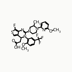 COc1cccc(N2CCN(C3=Nc4c(csc4F)C(CC(=O)O)N3c3cc(C(F)(F)F)ccc3OC)CC2C)n1